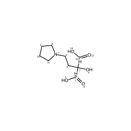 O=[PH](O)C(O)(CCN1CCCC1)[PH](=O)O